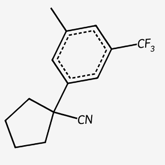 Cc1cc(C(F)(F)F)cc(C2(C#N)CCCC2)c1